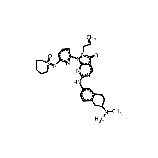 C=CCn1c(=O)c2cnc(Nc3ccc4c(c3)CCC(N(C)C)C4)nc2n1-c1cccc(N=S2(=O)CCCCC2)n1